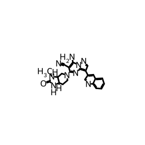 CN1C(=O)N[C@H]2CCN(c3nc4c(-c5cnc6ccccc6c5)cnn4c(N)c3C#N)C[C@H]21